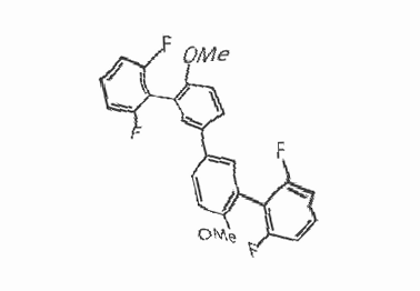 COc1ccc(-c2ccc(OC)c(-c3c(F)cccc3F)c2)cc1-c1c(F)cccc1F